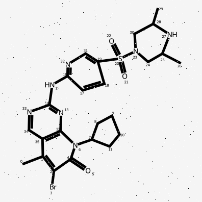 Cc1c(Br)c(=O)n(C2CCCC2)c2nc(Nc3ccc(S(=O)(=O)N4CC(C)NC(C)C4)cn3)ncc12